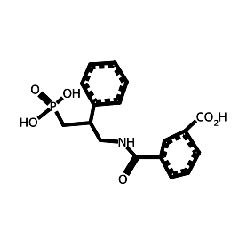 O=C(O)c1cccc(C(=O)NCC(CP(=O)(O)O)c2ccccc2)c1